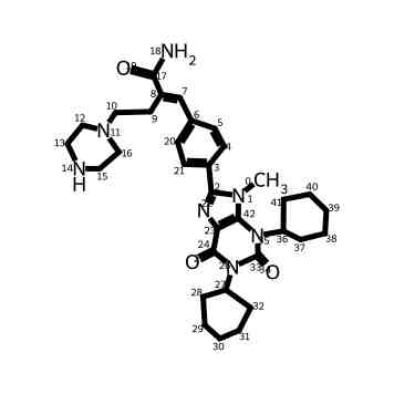 Cn1c(-c2ccc(/C=C(\CCN3CCNCC3)C(N)=O)cc2)nc2c(=O)n(C3CCCCC3)c(=O)n(C3CCCCC3)c21